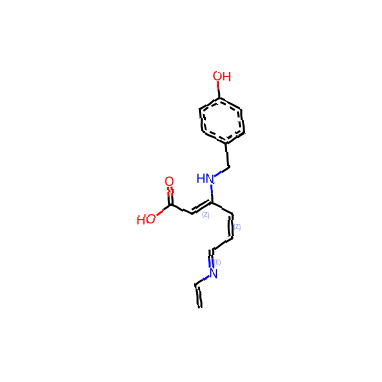 C=C/N=C/C=C\C(=C\C(=O)O)NCc1ccc(O)cc1